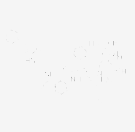 C[C@@H](C(=O)N[C@H](CN1Cc2ccccc2[C@H]1C(=O)Nc1cc(C(=O)NCCNC(=O)OCc2ccccc2)ccc1F)C1CCOCC1)N(C)C(=O)OC(C)(C)C